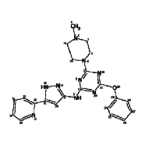 CN1CCN(c2nc(Nc3cc(-c4ccccn4)[nH]n3)nc(Oc3ccccc3)n2)CC1